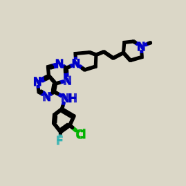 CN1CCC(CCC2CCN(c3ncc4ncnc(Nc5ccc(F)c(Cl)c5)c4n3)CC2)CC1